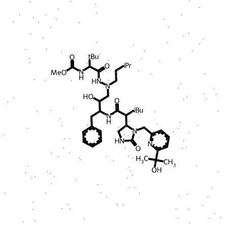 CCC(C)C(C(=O)NC(Cc1ccccc1)C(O)CN(CCC(C)C)NC(=O)C(NC(=O)OC)C(C)(C)C)C1CNC(=O)N1Cc1cccc(C(C)(C)O)n1